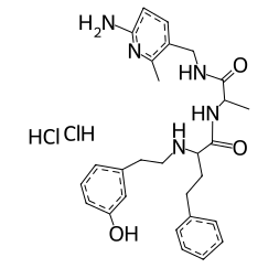 Cc1nc(N)ccc1CNC(=O)C(C)NC(=O)C(CCc1ccccc1)NCCc1cccc(O)c1.Cl.Cl